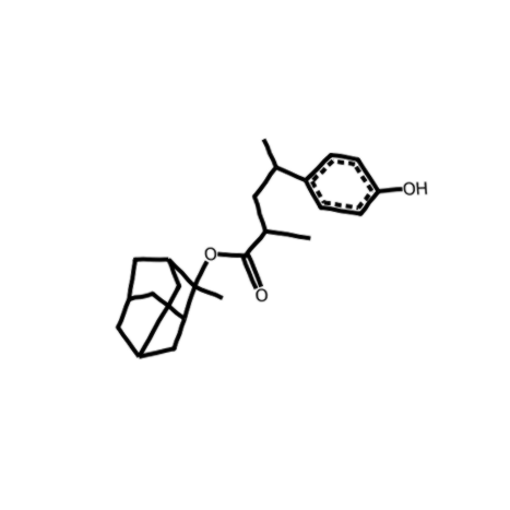 CC(CC(C)c1ccc(O)cc1)C(=O)OC1(C)C2CC3CC(C2)CC1C3